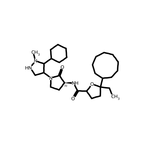 CCC1(C2CCCCCCCC2)CCC(C(=O)N[C@H]2CCN(C3CNN(C)C3C3CCCCC3)C2=O)O1